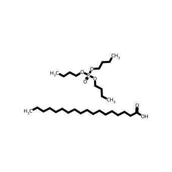 CCCCCCCCCCCCCCCCCC(=O)O.CCCCOP(=O)(OCCCC)OCCCC